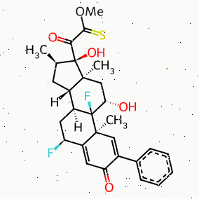 COC(=S)C(=O)[C@@]1(O)[C@H](C)C[C@H]2[C@@H]3C[C@H](F)C4=CC(=O)C(c5ccccc5)=C[C@]4(C)[C@@]3(F)[C@@H](O)C[C@@]21C